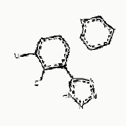 Clc1cccc(-c2nnn[nH]2)c1Cl.c1ccncc1